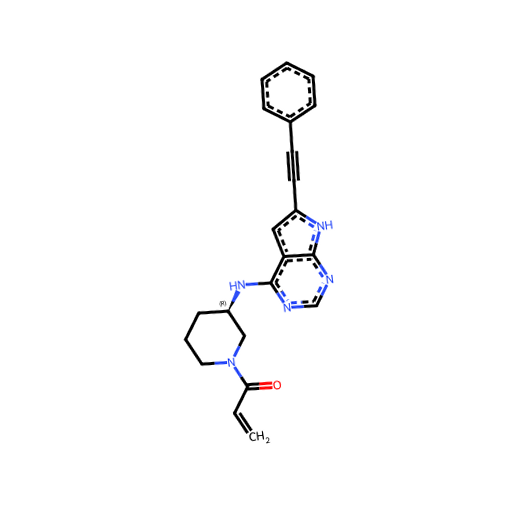 C=CC(=O)N1CCC[C@@H](Nc2ncnc3[nH]c(C#Cc4ccccc4)cc23)C1